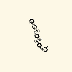 CC1CCCN(Cc2ccc(C(=O)Nc3ccc(OC(=O)N4CCN(c5ccccn5)CC4)nc3)cc2)C1